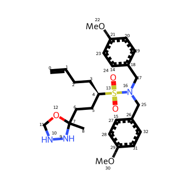 C=CCC[C@H](CCC1(C)NNCO1)S(=O)(=O)N(Cc1ccc(OC)cc1)Cc1ccc(OC)cc1